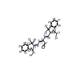 CCN1/C(=C/C=C(C=O)/C=C/C2N(CC)c3ccccc3C2(C)C)C(C)(C)c2ccccc21